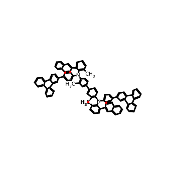 Cc1cc(-c2ccc(N(c3ccc(-c4ccc5c6ccccc6c6ccccc6c5c4)cc3)c3c(C)cccc3-c3ccc4ccccc4c3)c(C)c2)ccc1N(c1ccc(-c2ccc3c4ccccc4c4ccccc4c3c2)cc1)c1c(C)cccc1-c1ccc2ccccc2c1